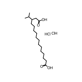 CC(C)C(CCCCCCCCCCCCC(=O)O)CC(=O)O.Cl.Cl